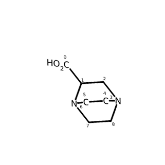 O=C(O)C1CN2CCN1CC2